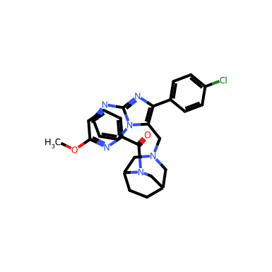 COc1cccc(C(=O)N2CC3CCC2CN(Cc2c(-c4ccc(Cl)cc4)nc4ncccn24)C3)n1